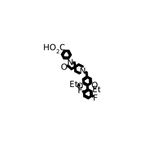 CCOc1cc(CN2CCC3(CC2)CC(=O)N(c2ccc(C(=O)O)cc2)C3)cc(OCC)c1-c1cc(F)ccc1F